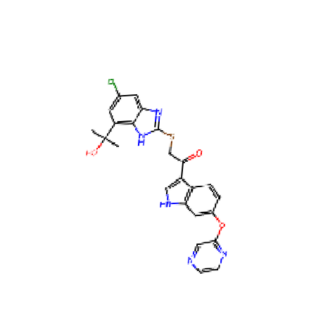 CC(C)(O)c1cc(Cl)cc2nc(SCC(=O)c3c[nH]c4cc(Oc5cnccn5)ccc34)[nH]c12